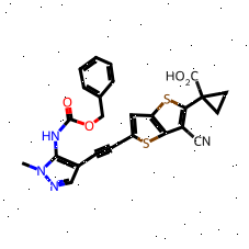 Cn1ncc(C#Cc2cc3sc(C4(C(=O)O)CC4)c(C#N)c3s2)c1NC(=O)OCc1ccccc1